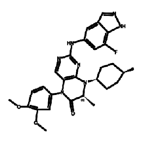 COc1ccc(N2C(=O)[C@@H](C)N([C@H]3CC[C@H](C)CC3)c3nc(Nc4cc(F)c5[nH]ncc5c4)ncc32)cc1OC